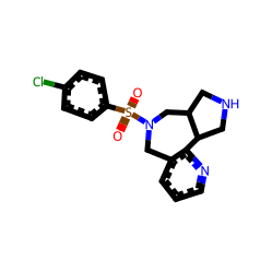 O=S(=O)(c1ccc(Cl)cc1)N1Cc2cccnc2C2CNCC2C1